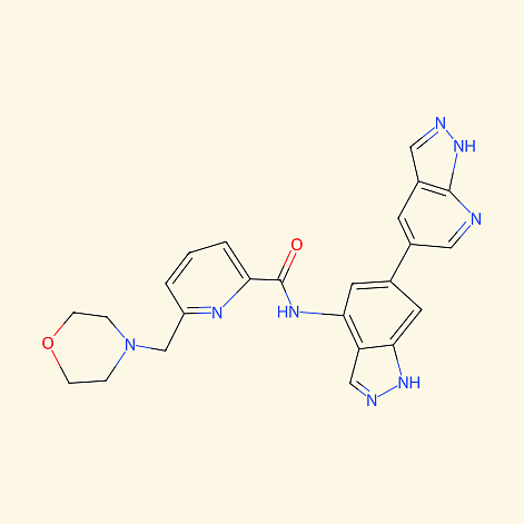 O=C(Nc1cc(-c2cnc3[nH]ncc3c2)cc2[nH]ncc12)c1cccc(CN2CCOCC2)n1